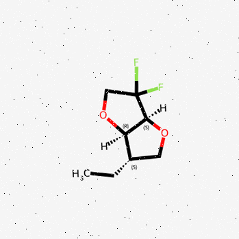 CC[C@H]1CO[C@H]2[C@@H]1OCC2(F)F